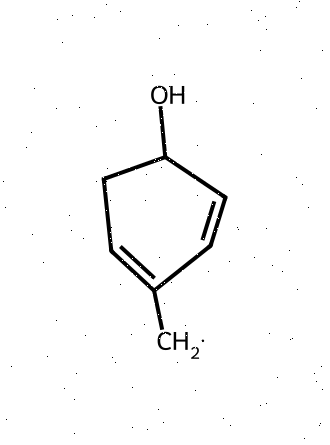 [CH2]C1=CCC(O)C=C1